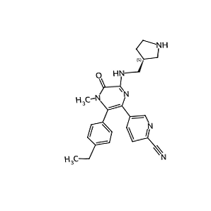 CCc1ccc(-c2c(-c3ccc(C#N)nc3)nc(NC[C@H]3CCNC3)c(=O)n2C)cc1